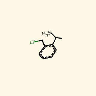 CC([SiH3])c1ccccc1CCl